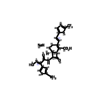 Nc1nc(/C(=N\O)C(=O)NC2C(=O)N3C(C(=O)O)=C(/C=C/c4cnc(C(F)(F)F)s4)CS[C@H]23)cs1.[NaH]